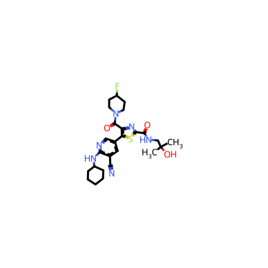 CC(C)(O)CNC(=O)c1nc(C(=O)N2CCC(F)CC2)c(-c2cnc(NC3CCCCC3)c(C#N)c2)s1